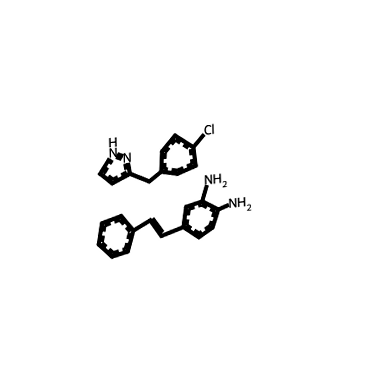 Clc1ccc(Cc2cc[nH]n2)cc1.Nc1ccc(C=Cc2ccccc2)cc1N